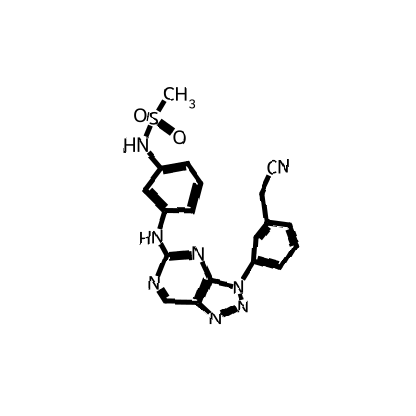 CS(=O)(=O)Nc1cccc(Nc2ncc3nnn(-c4cccc(CC#N)c4)c3n2)c1